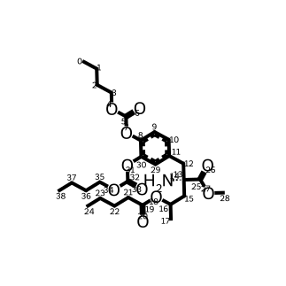 CCCCOC(=O)Oc1ccc(C[C@](N)(CC(C)OC(=O)CCCC)C(=O)OC)cc1OC(=O)OCCCC